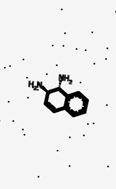 N[C@@H]1C=Cc2ccccc2[C@H]1N